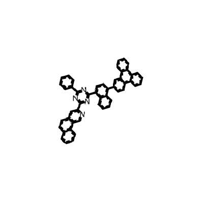 c1ccc(-c2nc(-c3cc4ccc5ccccc5c4cn3)nc(-c3ccc(-c4ccc5c6ccccc6c6ccccc6c5c4)c4ccccc34)n2)cc1